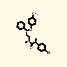 CCc1ccc(C(C)C(=O)N(C)CC[C@H](Oc2ccc(C(F)(F)F)cc2)c2ccccc2)cc1